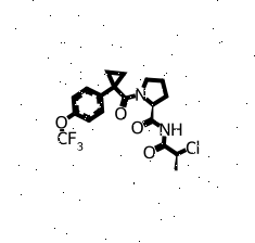 C[C@H](Cl)C(=O)NC(=O)[C@@H]1CCCN1C(=O)C1(c2ccc(OC(F)(F)F)cc2)CC1